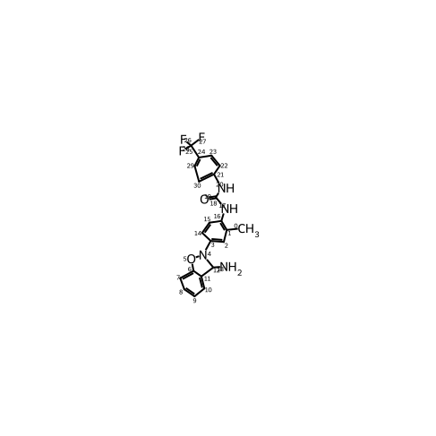 Cc1cc(N2Oc3ccccc3C2N)ccc1NC(=O)Nc1ccc(C(F)(F)F)cc1